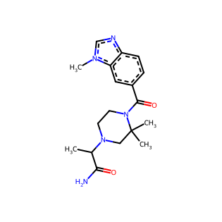 CC(C(N)=O)N1CCN(C(=O)c2ccc3ncn(C)c3c2)C(C)(C)C1